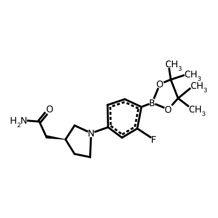 CC1(C)OB(c2ccc(N3CC[C@@H](CC(N)=O)C3)cc2F)OC1(C)C